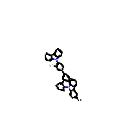 N#Cc1ccc2c(c1)c1ccccc1n2-c1ccccc1-c1cccc(-c2ccc(-n3c4ccccc4c4ccccc43)c(C#N)c2)c1